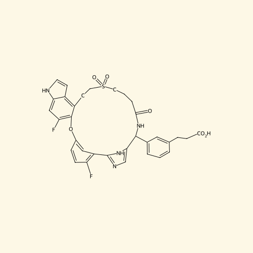 O=C(O)CCc1cccc(C2NC(=O)CCCS(=O)(=O)CCc3c(c(F)cc4[nH]ccc34)Oc3ccc(F)c(c3)-c3ncc2[nH]3)c1